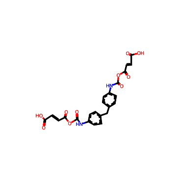 O=C(O)/C=C/C(=O)OC(=O)Nc1ccc(Cc2ccc(NC(=O)OC(=O)/C=C/C(=O)O)cc2)cc1